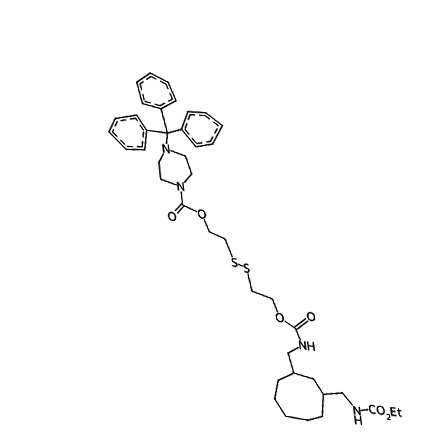 CCOC(=O)NCC1CCCCCC(CNC(=O)OCCSSCCOC(=O)N2CCN(C(c3ccccc3)(c3ccccc3)c3ccccc3)CC2)C1